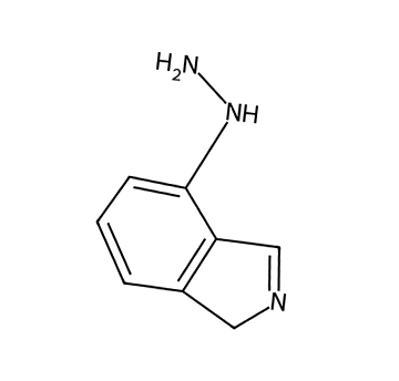 NNc1cccc2c1C=NC2